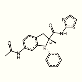 CC(=O)Nc1ccc2c(c1)[C@@H](c1ccccc1)[C@@](C)(C(=O)Nc1nccs1)C2